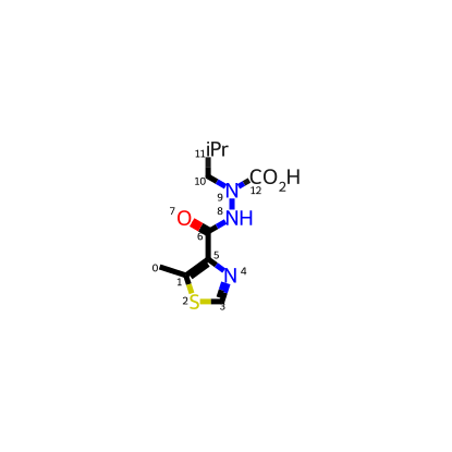 Cc1scnc1C(=O)NN(CC(C)C)C(=O)O